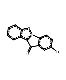 O=C1c2cc(Cl)ccc2-n2nc3ccccc3c21